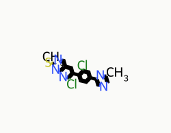 CSc1ncc2cc(-c3ccc(-c4cncc(C)n4)cc3Cl)c(Cl)nc2n1